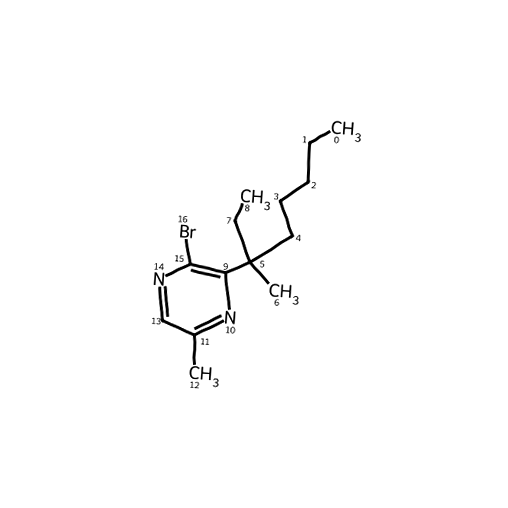 CCCCCC(C)(CC)c1nc(C)cnc1Br